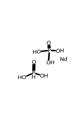 O=P(O)(O)O.O=[PH](O)O.[Nd]